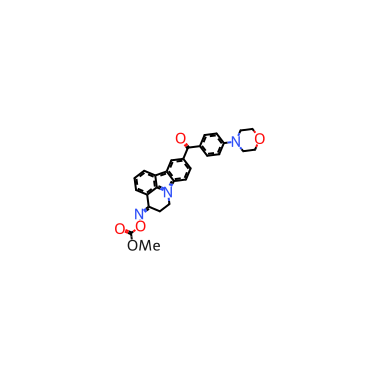 COC(=O)O/N=C1\CCn2c3ccc(C(=O)c4ccc(N5CCOCC5)cc4)cc3c3cccc1c32